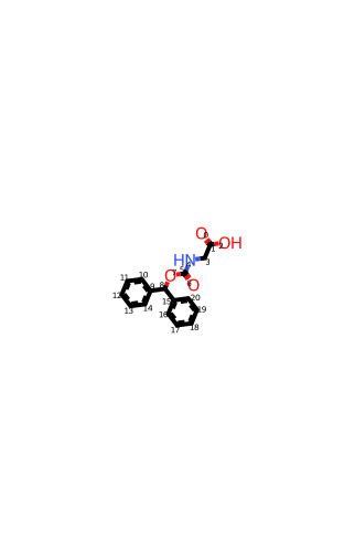 O=C(O)CNC(=O)OC(c1ccccc1)c1ccccc1